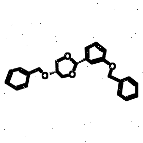 c1ccc(COc2cccc([C@H]3OC[C@@H](OCc4ccccc4)CO3)c2)cc1